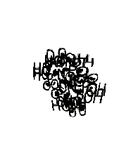 O=P(O)(O)C(N(C[CH]([K])N(C(P(=O)(O)O)P(=O)(O)O)C(P(=O)(O)O)P(=O)(O)O)C(P(=O)(O)O)P(=O)(O)O)P(=O)(O)O